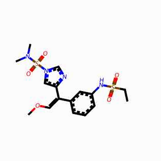 CCS(=O)(=O)Nc1cccc(C(=COC)c2cn(S(=O)(=O)N(C)C)cn2)c1